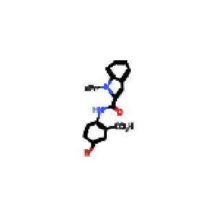 CCCn1c(C(=O)Nc2ccc(Br)cc2C(=O)O)cc2ccccc21